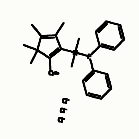 CC1=C(C)C(C)(C)[C]([Cr+3])=C1[Si](C)(C)P(c1ccccc1)c1ccccc1.[Cl-].[Cl-].[Cl-]